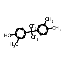 Cc1ccc(C(c2ccc(O)c(C)c2)(C(F)(F)F)C(F)(F)F)cc1C